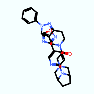 O=C(CN1CC2CCC(C1)N2c1ccc(-c2ncon2)cn1)N1CCc2nn(-c3ccccc3)cc2C1